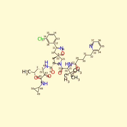 CCC[C@H](NC(=O)[C@@H]1C[C@]2(CC(c3cccc(Cl)c3)=NO2)CN1C(=O)[C@@H](NC(=O)CCCCc1ccccn1)C(C)(C)C)C(=O)C(=O)NC1CC1